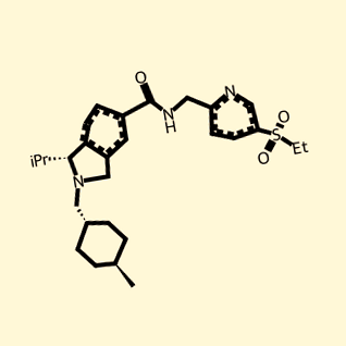 CCS(=O)(=O)c1ccc(CNC(=O)c2ccc3c(c2)CN(C[C@H]2CC[C@H](C)CC2)[C@@H]3C(C)C)nc1